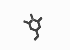 CCC1CC(C)N(C)C(C)C1